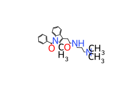 Cc1c(CC(=O)NCCCN(C)C)c2ccccc2n1C(=O)c1ccccc1